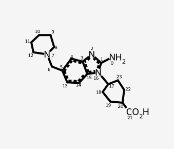 Nc1nc2cc(CN3CCCCC3)ccc2n1C1CCC(C(=O)O)CC1